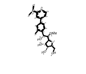 CO[C@@H](C1OC(CO)[C@@H](O)[C@@H]1O)[C@H](O)c1ccc(-c2ccnc(N(C)C)c2)cc1C